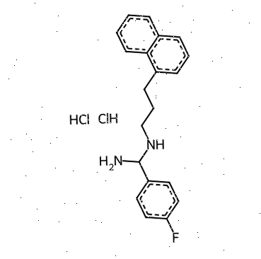 Cl.Cl.NC(NCCCc1cccc2ccccc12)c1ccc(F)cc1